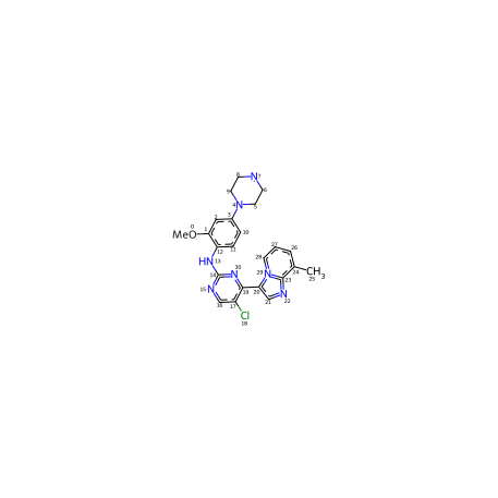 COc1cc(N2CC[N]CC2)ccc1Nc1ncc(Cl)c(-c2cnc3c(C)cccn23)n1